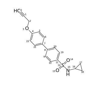 C#CCOc1ccc(-c2ccc(S(=O)(=O)NC3CC3)cc2)cc1